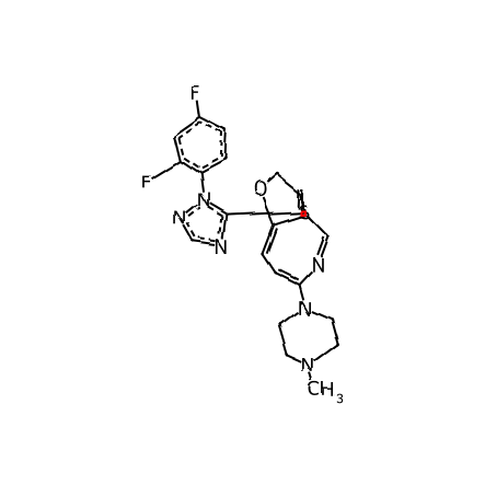 CN1CCN(C2=CC=C3OCC4CC=C(c5ncnn5-c5ccc(F)cc5F)SC34C=N2)CC1